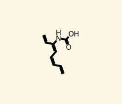 C=C/C=C\C=C(/C=C)NC(=O)O